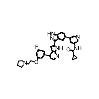 O=C(Nc1cncc(-c2ccc3[nH]nc(-c4cc5c(-c6cc(F)cc(OCCN7CCCC7)c6)ccnc5[nH]4)c3c2)c1)C1CC1